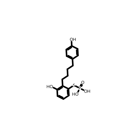 O=P(O)(O)Sc1cccc(O)c1CCCCc1ccc(O)cc1